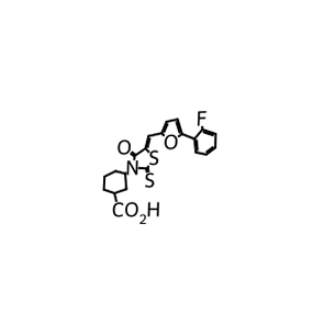 O=C(O)C1CCCC(N2C(=O)C(=Cc3ccc(-c4ccccc4F)o3)SC2=S)C1